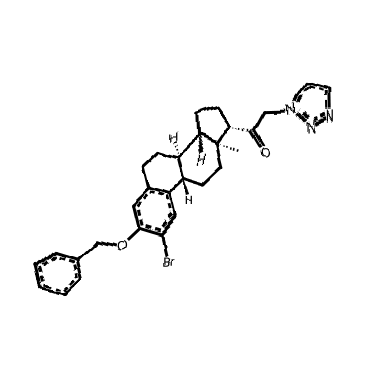 C[C@]12CC[C@@H]3c4cc(Br)c(OCc5ccccc5)cc4CC[C@H]3[C@@H]1CC[C@@H]2C(=O)Cn1ccnn1